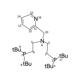 CC(C)(C)P(CCN(CCP(C(C)(C)C)C(C)(C)C)Cc1ccccn1)C(C)(C)C